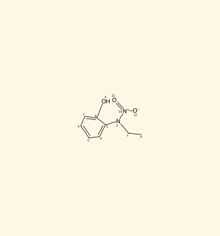 CCN(c1ccccc1O)[N+](=O)[O-]